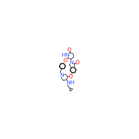 O=C1CCC(N2Cc3cc(O[C@@H]4CN(Cc5ccccc5)CCC4NCC4CC4)ccc3C2=O)C(=O)N1